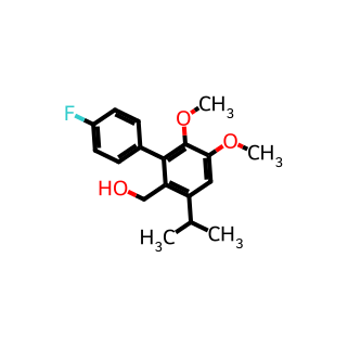 COc1cc(C(C)C)c(CO)c(-c2ccc(F)cc2)c1OC